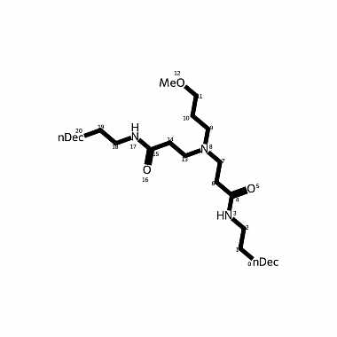 CCCCCCCCCCCCNC(=O)CCN(CCCOC)CCC(=O)NCCCCCCCCCCCC